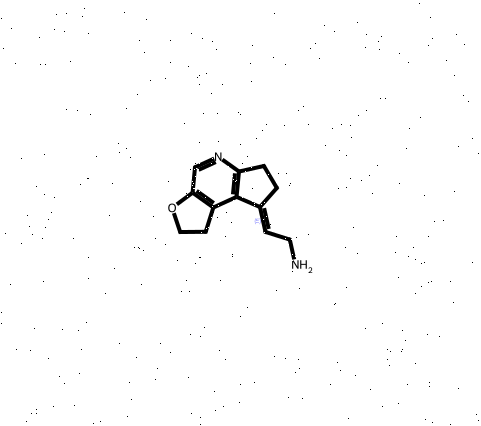 NC/C=C1\CCc2ncc3c(c21)CCO3